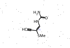 C#C/C(=C\NC(N)=O)SC